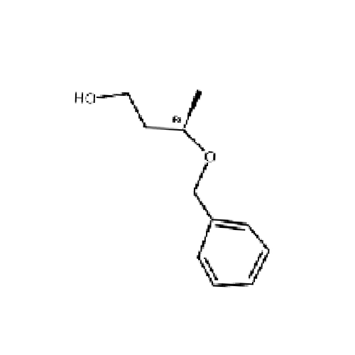 C[C@H](CCO)OCc1ccccc1